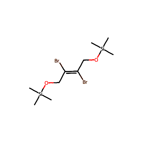 C[Si](C)(C)OCC(Br)=C(Br)CO[Si](C)(C)C